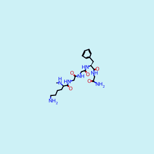 CNC(CCCCN)C(=O)NCC(=O)NCC(=O)N[C@@H](Cc1ccccc1)C(=O)NCC(N)=O